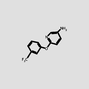 Nc1ccc(Oc2cccc(C(F)(F)F)c2)nc1